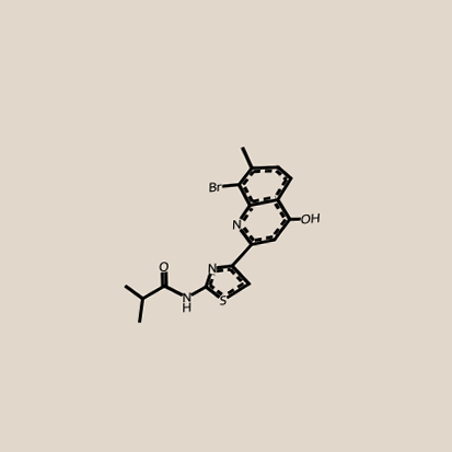 Cc1ccc2c(O)cc(-c3csc(NC(=O)C(C)C)n3)nc2c1Br